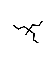 CC[CH]C(C)(CCC)CCC